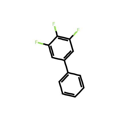 Fc1cc(-c2c[c]ccc2)cc(F)c1F